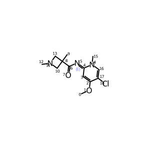 COc1c/c(=N\C(=O)C2(C)CN(C)C2)n(C)cc1Cl